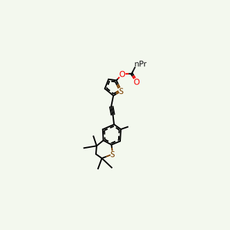 CCCC(=O)Oc1ccc(C#Cc2cc3c(cc2C)SC(C)(C)CC3(C)C)s1